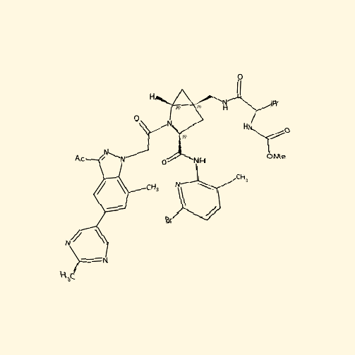 COC(=O)NC(C(=O)NC[C@@]12C[C@@H](C(=O)Nc3nc(Br)ccc3C)N(C(=O)Cn3nc(C(C)=O)c4cc(-c5cnc(C)nc5)cc(C)c43)[C@@H]1C2)C(C)C